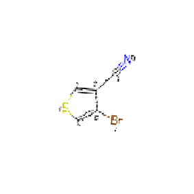 N#Cc1cs[c]c1Br